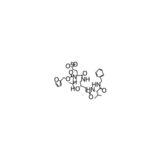 CC(C)C[C@H](NC(=O)[C@H](CCS(C)(=O)=O)NC(=O)OCc1ccco1)[C@@H](O)C[C@@H](C)C(=O)N[C@H](C(=O)NCc1ccccc1)C(C)C